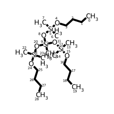 CCCCO[Si](C)(C)O[Si](C)(O[Si](C)(C)OCCCC)O[Si](C)(C)OCCCC